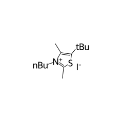 CCCC[n+]1c(C)sc(C(C)(C)C)c1C.[I-]